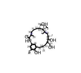 CO[C@H]1/C(C)=C/[C@H](C)[C@@H](O)[C@@H](CO)C[C@H](C)Cc2cc(cc(F)c2O)NC(=O)/C(C)=C/CC[C@@H]1CO